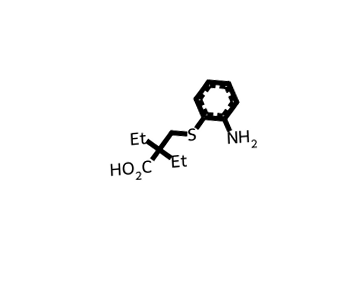 CCC(CC)(CSc1ccccc1N)C(=O)O